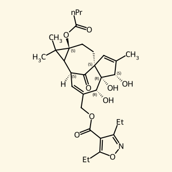 CCCC(=O)O[C@@]12CC[C@]34C=C(C)[C@H](O)[C@@]3(O)[C@H](O)C(COC(=O)c3c(CC)noc3CC)=C[C@H](C4=O)C1C2(C)C